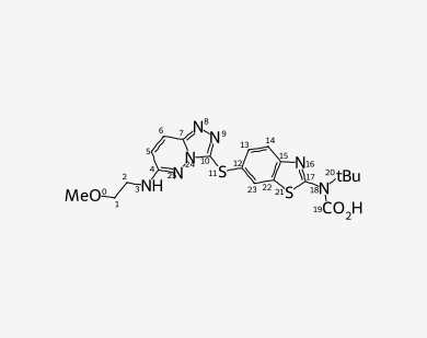 COCCNc1ccc2nnc(Sc3ccc4nc(N(C(=O)O)C(C)(C)C)sc4c3)n2n1